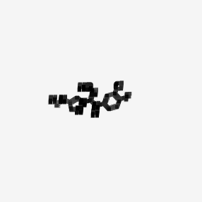 Nc1cnn(C(=NO)Nc2ccc(F)c(Cl)c2)c1